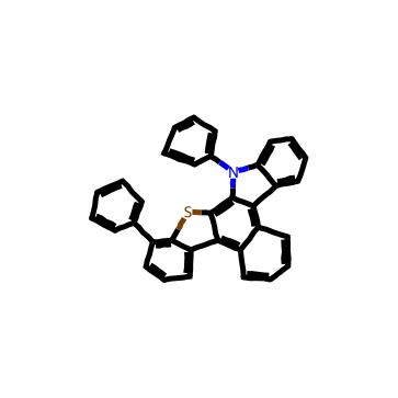 c1ccc(-c2cccc3c2sc2c3c3ccccc3c3c4ccccc4n(-c4ccccc4)c23)cc1